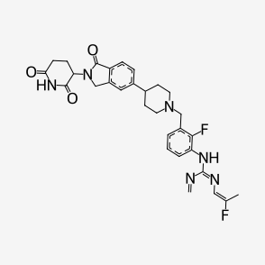 C=N/C(=N\C=C(/C)F)Nc1cccc(CN2CCC(c3ccc4c(c3)CN(C3CCC(=O)NC3=O)C4=O)CC2)c1F